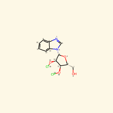 OC[C@H]1O[C@@H](n2cnc3ccccc32)[C@H](OCl)[C@@H]1OCl